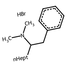 Br.CCCCCCCC(Cc1ccccc1)N(C)C